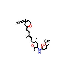 COC1(C)CCOC(/C=C/C(C)=C/CC2OC(C)C(NC(=O)/C=C\C(C)OC=O)CC2C)C1